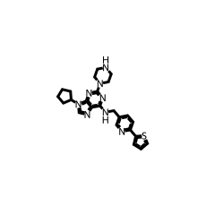 c1csc(-c2ccc(CNc3nc(N4CCNCC4)nc4c3ncn4C3CCCC3)cn2)c1